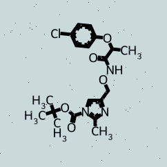 Cc1nc(CONC(=O)C(C)Oc2ccc(Cl)cc2)cn1C(=O)OC(C)(C)C